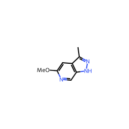 COc1cc2c(C)n[nH]c2cn1